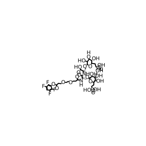 O=C(CCOCCOCCC(=O)Oc1c(F)c(F)cc(F)c1F)N[C@@H](CO[C@H]1OC(CCP(=O)(O)O)[C@@H](O)[C@H](O)C1O)C(=O)N[C@@H](COC1OC(CCP(=O)(O)O)C(O)C(O)C1O)C(=O)O